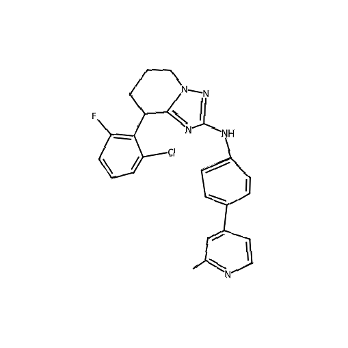 Cc1cc(-c2ccc(Nc3nc4n(n3)CCCC4c3c(F)cccc3Cl)cc2)ccn1